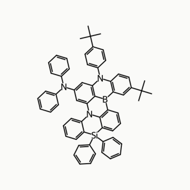 CC(C)(C)c1ccc(N2c3ccc(C(C)(C)C)cc3B3c4cccc5c4N(c4ccccc4[Si]5(c4ccccc4)c4ccccc4)c4cc(N(c5ccccc5)c5ccccc5)cc2c43)cc1